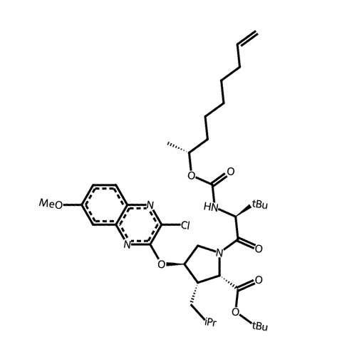 C=CCCCCC[C@@H](C)OC(=O)N[C@H](C(=O)N1C[C@H](Oc2nc3cc(OC)ccc3nc2Cl)[C@@H](CC(C)C)[C@H]1C(=O)OC(C)(C)C)C(C)(C)C